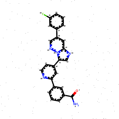 NC(=O)c1cccc(-c2cc(-c3cnc4cc(-c5cccc(F)c5)cnn34)ccn2)c1